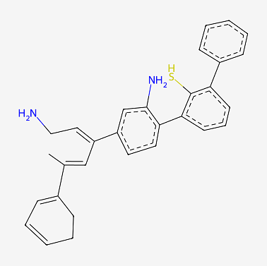 C/C(=C\C(=C/CN)c1ccc(-c2cccc(-c3ccccc3)c2S)c(N)c1)C1=CC=CCC1